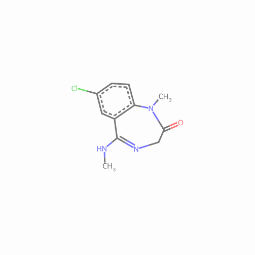 CNC1=NCC(=O)N(C)c2ccc(Cl)cc21